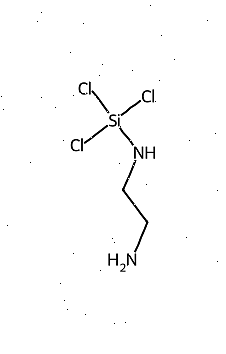 NCCN[Si](Cl)(Cl)Cl